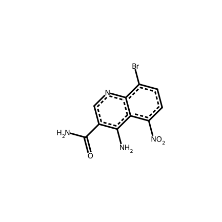 NC(=O)c1cnc2c(Br)ccc([N+](=O)[O-])c2c1N